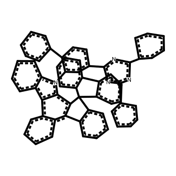 c1ccc(-c2nc(-c3ccccc3)nc(-c3ccc(-c4ccccc4)c(-n4c5ccccc5c5c6ccccc6c6c(c54)C4(c5ccccc5-c5ccccc54)c4ccccc4-6)c3)n2)cc1